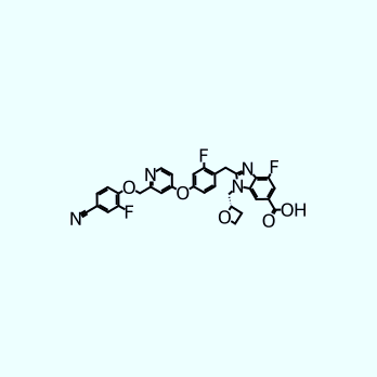 N#Cc1ccc(OCc2cc(Oc3ccc(Cc4nc5c(F)cc(C(=O)O)cc5n4C[C@@H]4CCO4)c(F)c3)ccn2)c(F)c1